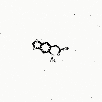 COc1cc2ocnc2cc1CC(=O)O